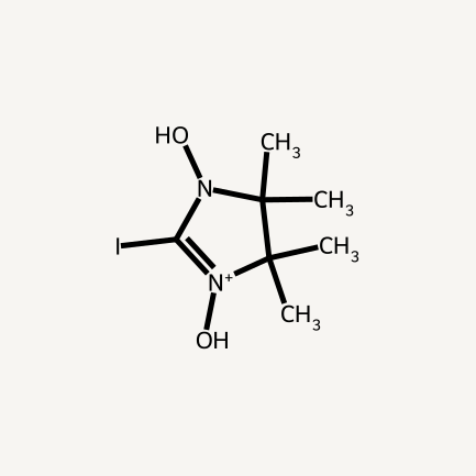 CC1(C)N(O)C(I)=[N+](O)C1(C)C